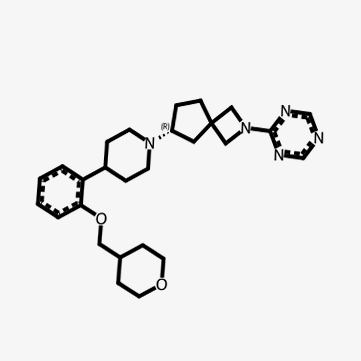 c1ccc(C2CCN([C@@H]3CCC4(C3)CN(c3ncncn3)C4)CC2)c(OCC2CCOCC2)c1